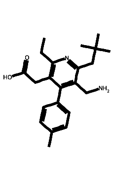 CCc1nc(CC(C)(C)C)c(CN)c(-c2ccc(C)cc2)c1CC(=O)O